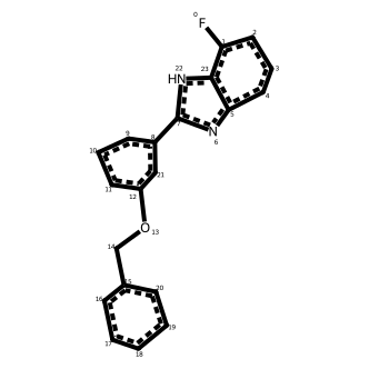 Fc1cccc2nc(-c3cccc(OCc4ccccc4)c3)[nH]c12